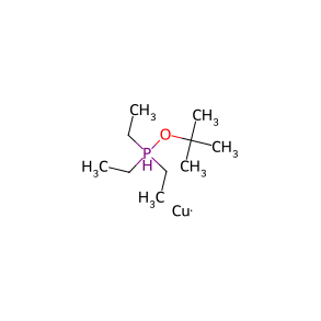 CC[PH](CC)(CC)OC(C)(C)C.[Cu]